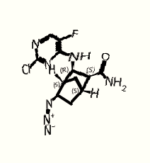 [N-]=[N+]=NC1C[C@@H]2C[C@H]1[C@@H](Nc1nc(Cl)ncc1F)[C@H]2C(N)=O